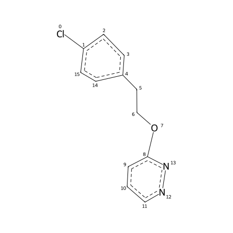 Clc1ccc(CCOc2cccnn2)cc1